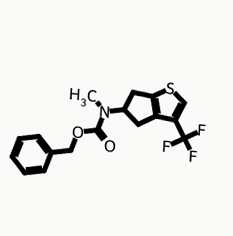 CN(C(=O)OCc1ccccc1)C1Cc2scc(C(F)(F)F)c2C1